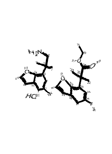 CC(C)(CN)c1cc(F)cc2ccoc12.CCOC(=O)C(C)(C)c1cc(F)cc2ccoc12.Cl